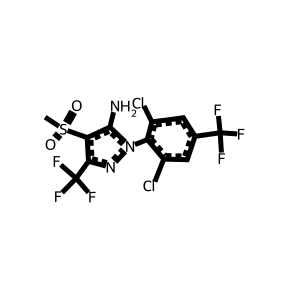 CS(=O)(=O)c1c(C(F)(F)F)nn(-c2c(Cl)cc(C(F)(F)F)cc2Cl)c1N